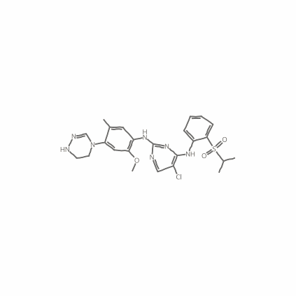 COc1cc(N2C=NNCC2)c(C)cc1Nc1ncc(Cl)c(Nc2ccccc2S(=O)(=O)C(C)C)n1